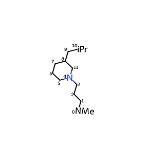 CNCCCN1CCCC(CC(C)C)C1